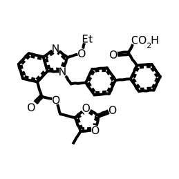 CCOc1nc2cccc(C(=O)OCc3oc(=O)oc3C)c2n1Cc1ccc(-c2ccccc2C(=O)C(=O)O)cc1